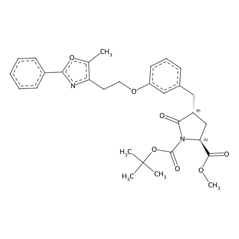 COC(=O)[C@@H]1C[C@@H](Cc2cccc(OCCc3nc(-c4ccccc4)oc3C)c2)C(=O)N1C(=O)OC(C)(C)C